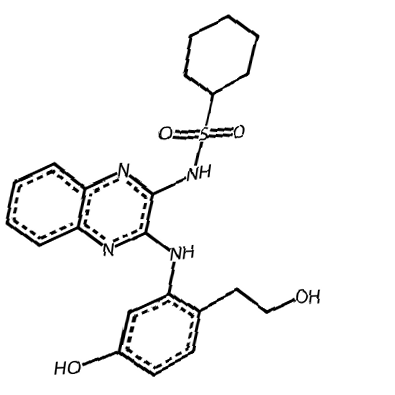 O=S(=O)(Nc1nc2ccccc2nc1Nc1cc(O)ccc1CCO)C1CCCCC1